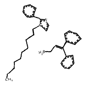 BCC=C(c1ccccc1)c1ccccc1.CCCCCCCCCCn1ccnc1-c1ccccc1